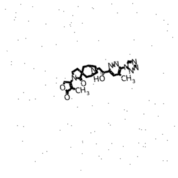 CC1=C(N2CCC3(CC4CCC(C3)N4C[C@H](O)c3cc(C)c(-n4cnnn4)nn3)C2=O)COC1=O